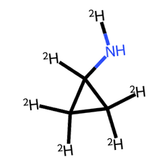 [2H]NC1([2H])C([2H])([2H])C1([2H])[2H]